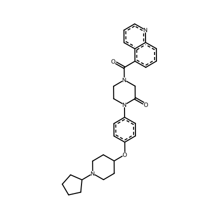 O=C(c1cccc2ncccc12)N1CCN(c2ccc(OC3CCN(C4CCCC4)CC3)cc2)C(=O)C1